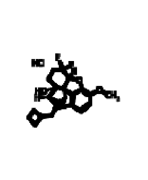 COc1ccc2c3c1O[C@H]1C(F)(F)CC[C@]4(O)[C@@H](C2)N(CC2CCC2)CC[C@]314.Cl